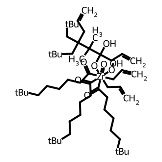 C=CCC(CC(C)(C)C)(CC(C)(C)C)C(C)(C)C(O)(CC=C)[O][Zr](=[O])([CH2]C=C)([CH2]C=C)([O]O)([C](=O)CCCCCC(C)(C)C)([C](=O)CCCCCC(C)(C)C)[C](=O)CCCCCC(C)(C)C